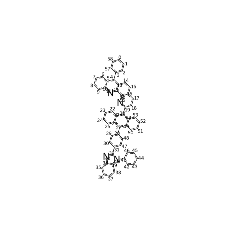 c1ccc(-c2c3ccccc3nc3c2ccc2ccc(-c4c5ccccc5c(-c5ccc(-c6nc7ccccc7n6-c6ccccc6)cc5)c5ccccc45)nc23)cc1